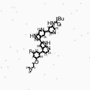 CN(C)CCOc1cc(F)cc(-c2ccnc3[nH]c(-c4n[nH]c5cnc(-c6cncc(NC(=O)C(C)(C)C)c6)cc45)cc23)c1